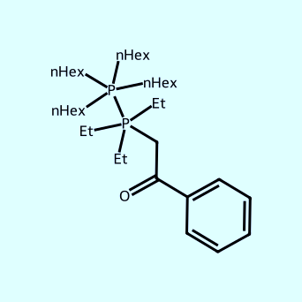 CCCCCCP(CCCCCC)(CCCCCC)(CCCCCC)P(CC)(CC)(CC)CC(=O)c1ccccc1